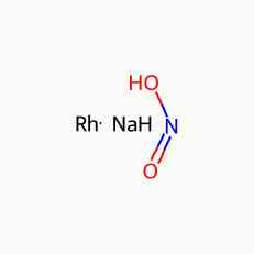 O=NO.[NaH].[Rh]